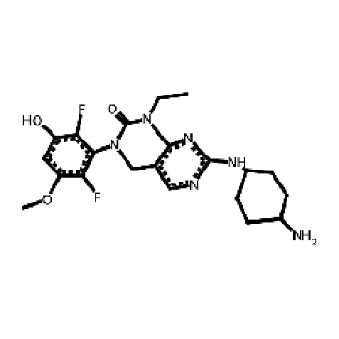 CCN1C(=O)N(c2c(F)c(O)cc(OC)c2F)Cc2cnc(NC3CCC(N)CC3)nc21